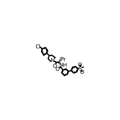 CC(C)[C@@H](NC(=O)c1cccc(-c2ccc(S(C)(=O)=O)cc2)c1)C(=O)N1CCC(c2ccc(Cl)cc2)CC1